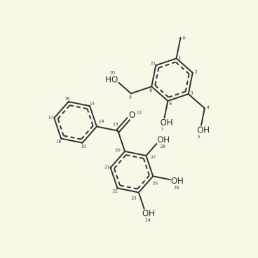 Cc1cc(CO)c(O)c(CO)c1.O=C(c1ccccc1)c1ccc(O)c(O)c1O